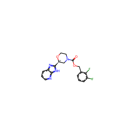 O=C(OCc1cccc(F)c1F)N1CCO[C@H](c2nc3cccnc3[nH]2)C1